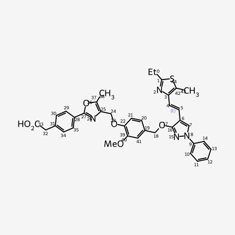 CCc1nc(/C=C/c2cn(-c3ccccc3)nc2OCc2ccc(OCc3nc(-c4ccc(CC(=O)O)cc4)oc3C)c(OC)c2)c(C)s1